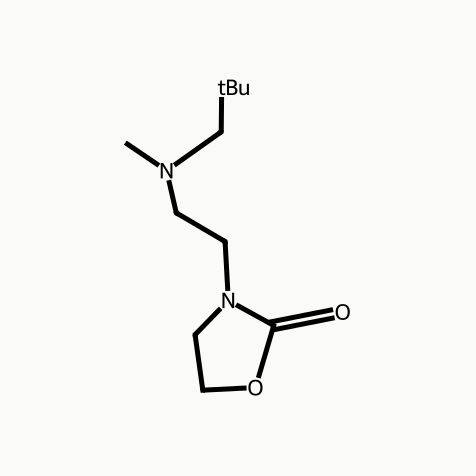 CN(CCN1CCOC1=O)CC(C)(C)C